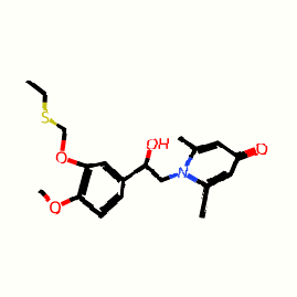 CCSCOc1cc(C(O)Cn2c(C)cc(=O)cc2C)ccc1OC